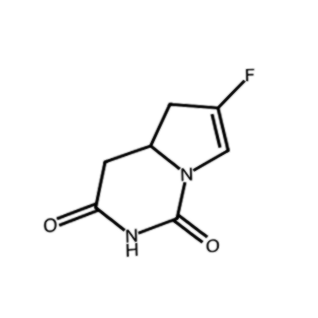 O=C1CC2CC(F)=CN2C(=O)N1